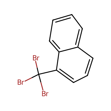 BrC(Br)(Br)c1cccc2ccccc12